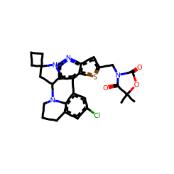 CC1(C)OC(=O)N(Cc2cc3nccc(-c4cc(Cl)cc5c4N(C4CNC6(CCC6)C4)CCC5)c3s2)C1=O